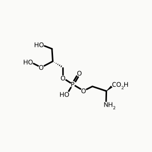 N[C@@H](COP(=O)(O)OC[C@@H](CO)OO)C(=O)O